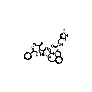 CCC(CC)[C@H](NC(=O)c1ccccc1)C(=O)N[C@H]1CCc2cccc3c2N(C1=O)[C@H](C(=O)NCc1c[nH]nn1)C3